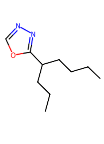 CCCCC(CCC)c1nnco1